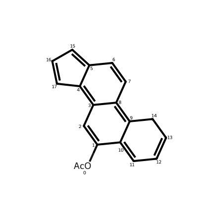 CC(=O)Oc1cc2c3c(ccc2c2c1=CC=CC2)=CC=C3